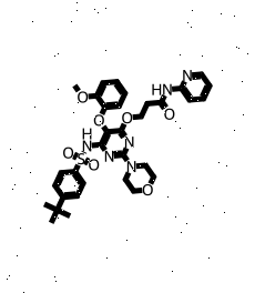 COc1ccccc1Oc1c(NS(=O)(=O)c2ccc(C(C)(C)C)cc2)nc(N2CCOCC2)nc1OCCC(=O)Nc1ccccn1